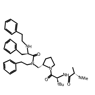 CN[C@@H](C)C(=O)N[C@H](C(=O)N1CCC[C@H]1CN(CCc1ccccc1)C(=O)[C@@H](Cc1ccccc1)NCCc1ccccc1)C(C)(C)C